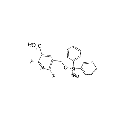 CC(C)(C)[Si](OCc1cc(C(=O)O)c(F)nc1F)(c1ccccc1)c1ccccc1